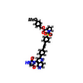 COc1ccc(COC(=O)[C@H]2CCCN2S(=O)(=O)c2ccc(C#Cc3ccc(-c4cc(N5C(=O)CNC5=O)c5cnccc5n4)cc3)cc2)cc1